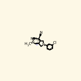 CN(C)/C=C1/CN(c2cccc(Cl)c2)CC1=C(C#N)C#N